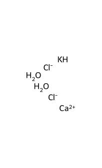 O.O.[Ca+2].[Cl-].[Cl-].[KH]